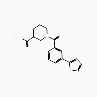 COC(=O)C1CCCN(C(=O)c2cccc(-c3ccco3)c2)C1